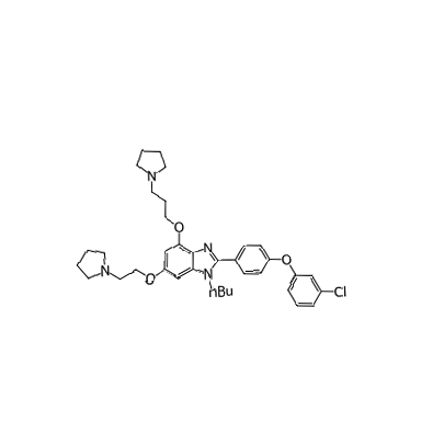 CCCCn1c(-c2ccc(Oc3cccc(Cl)c3)cc2)nc2c(OCCCN3CCCC3)cc(OCCN3CCCC3)cc21